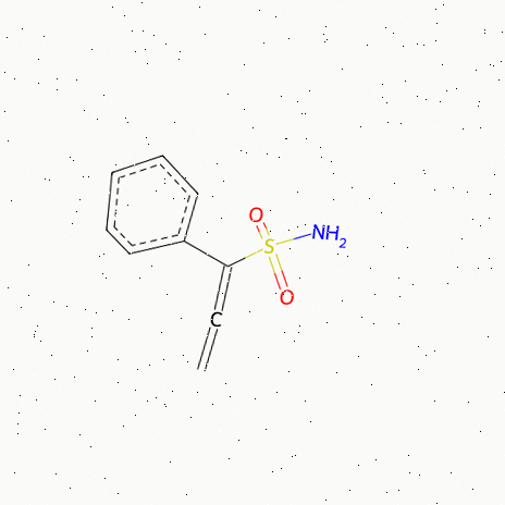 C=C=C(c1ccccc1)S(N)(=O)=O